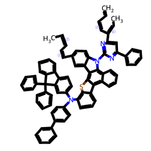 C=C/C=C\C(=C/C)c1cc(-c2ccccc2)nc(-n2c3ccc(/C=C\C=C/C)cc3c3c4sc5c(N(c6ccc(-c7ccccc7)cc6)c6ccc7c(c6)C(c6ccccc6)(c6ccccc6)c6ccccc6-7)cccc5c4c4ccccc4c32)n1